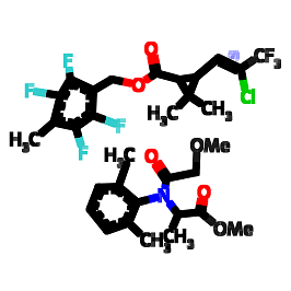 COCC(=O)N(c1c(C)cccc1C)C(C)C(=O)OC.Cc1c(F)c(F)c(COC(=O)C2C(/C=C(\Cl)C(F)(F)F)C2(C)C)c(F)c1F